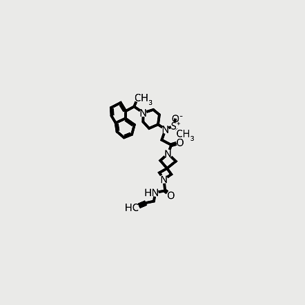 C#CCNC(=O)N1CC2(CN(C(=O)CN(C3CCN(C(C)c4cccc5ccccc45)CC3)[S+](C)[O-])C2)C1